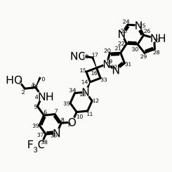 C[C@H](CO)NCc1cc(OC2CCN([C@H]3C[C@](CC#N)(n4cc(-c5ncnc6[nH]ccc56)cn4)C3)CC2)nc(C(F)(F)F)c1